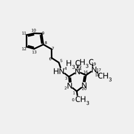 CC1N=C(NCCCc2ccccc2)N(C)C(N(C)C)=N1